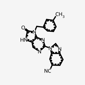 Cc1cccc(Cn2c(=O)[nH]c3cnc(-n4cnc5ccc(C#N)cc54)nc32)c1